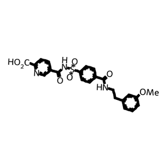 COc1cccc(CCNC(=O)c2ccc(S(=O)(=O)NC(=O)c3ccc(C(=O)O)nc3)cc2)c1